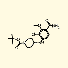 COc1c(C(N)=O)ccc(NC2CCN(C(=O)OC(C)(C)C)CC2)c1Cl